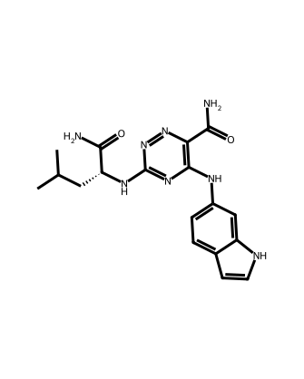 CC(C)C[C@@H](Nc1nnc(C(N)=O)c(Nc2ccc3cc[nH]c3c2)n1)C(N)=O